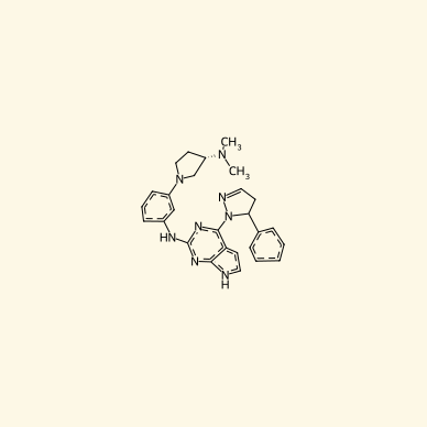 CN(C)[C@H]1CCN(c2cccc(Nc3nc(N4N=CCC4c4ccccc4)c4cc[nH]c4n3)c2)C1